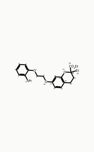 CCCc1ccccc1OCCOc1ccc2c(c1)OC(CC)(C(=O)OCC)CC2